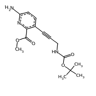 COC(=O)c1nc(N)ccc1C#CCNC(=O)OC(C)(C)C